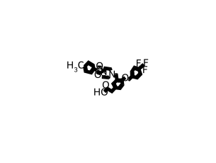 Cc1ccc(S(=O)(=O)N2CCN(Cc3cc(CC(=O)O)ccc3OCc3ccc(C(F)(F)F)cc3)CC2)cc1